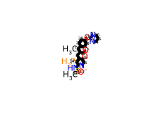 Cc1c(Cc2ccnc(N[S+](C)[O-])c2P)c(=O)oc2cc(OC3=NCCC=N3)ccc12